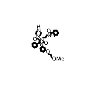 COCCCOc1cccc(-n2c(-c3ccccc3)c(C(=O)N3CCNCC3)n(CCCNC(=O)c3ccccc3)c2=O)c1